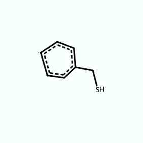 SCc1cc[c]cc1